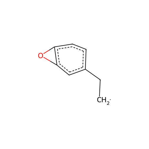 [CH2]Cc1ccc2c(c1)O2